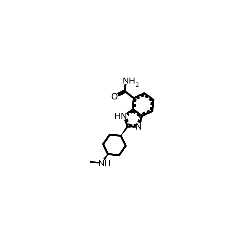 CN[C@H]1CC[C@@H](c2nc3cccc(C(N)=O)c3[nH]2)CC1